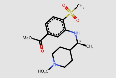 COC(=O)c1ccc(S(C)(=O)=O)c(N[C@@H](C)C2CCN(C(=O)O)CC2)c1